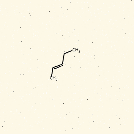 [CH2]/C=[C]/CC